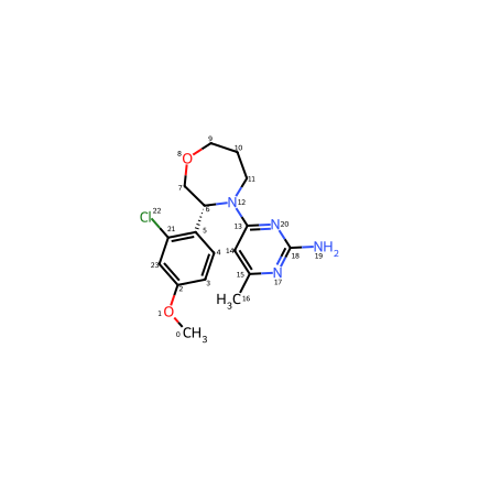 COc1ccc([C@@H]2COCCCN2c2cc(C)nc(N)n2)c(Cl)c1